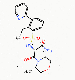 CCc1c(-c2ccccn2)cccc1S(=O)(=O)N[C@@H](C(N)=O)C(=O)N1CCOC[C@@H]1C